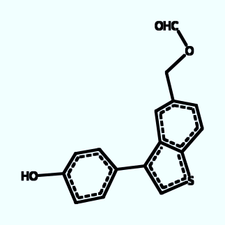 O=COCc1ccc2scc(-c3ccc(O)cc3)c2c1